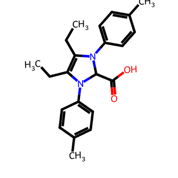 CCC1=C(CC)N(c2ccc(C)cc2)C(C(=O)O)N1c1ccc(C)cc1